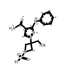 CCS(=O)(=O)N1CC(CC#N)(n2cc(C(N)=O)c(Nc3ccccc3)n2)C1